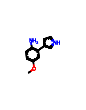 COc1ccc(N)c(-c2cc[nH]c2)c1